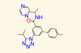 Cc1ccc(-c2cc(C(=O)NC(C)c3cnccn3)cc(-n3nnnc3C(C)C)c2)cc1